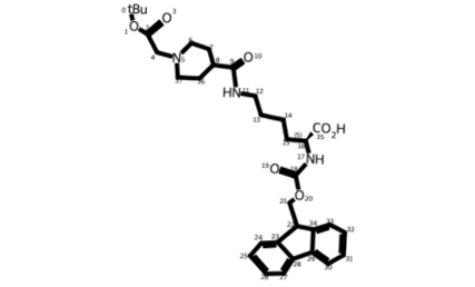 CC(C)(C)OC(=O)CN1CCC(C(=O)NCCCC[C@H](NC(=O)OCC2c3ccccc3-c3ccccc32)C(=O)O)CC1